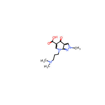 CN(C)CCCn1cc(C(=O)O)c(=O)c2cn(C)nc21